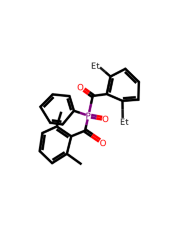 CCc1cccc(CC)c1C(=O)P(=O)(C(=O)c1c(C)cccc1C)c1ccccc1